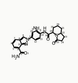 N.NC(=O)c1cccc2cn(-c3ccc(NC(=O)C4CCCC5CCC(=O)N54)cc3)nc12